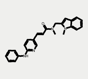 CN(Cc1cc2ccccc2n1C)C(=O)/C=C/c1ccc(Nc2ccccc2)nc1